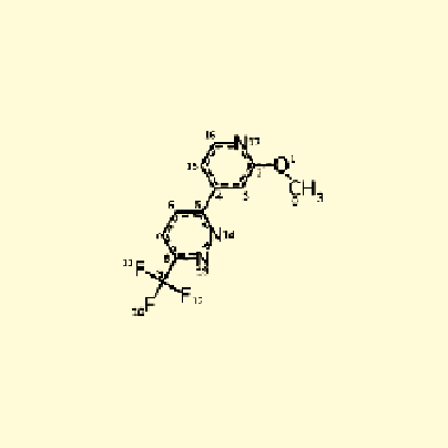 COc1cc(-c2ccc(C(F)(F)F)nn2)ccn1